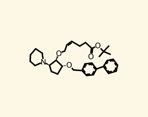 CC(C)(C)OC(=O)CC/C=C\CO[C@@H]1[C@H](N2CCCCC2)CC[C@H]1OCc1ccc(-c2ccccc2)cc1